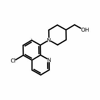 OCC1CCN(c2[c]cc(Cl)c3cccnc23)CC1